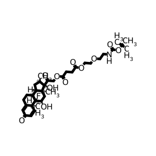 C[C@@H]1C[C@H]2[C@@H]3CCC4=CC(=O)C=C[C@]4(C)[C@@]3(F)[C@@H](O)C[C@]2(C)[C@@]1(O)C(=O)COC(=O)CCC(=O)OCCOCCNC(=O)OC(C)(C)C